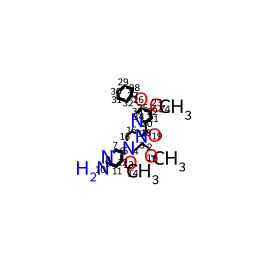 COCC1CN(c2cnc(N)cc2OC)CCN1C(=O)c1cc(OC)c(Oc2ccccc2)cn1